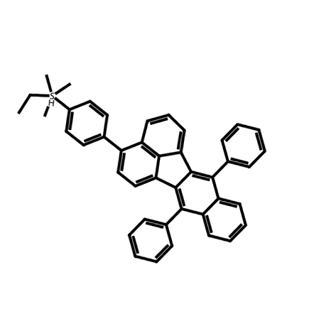 CC[SH](C)(C)(C)c1ccc(-c2ccc3c4c(cccc24)-c2c-3c(-c3ccccc3)c3ccccc3c2-c2ccccc2)cc1